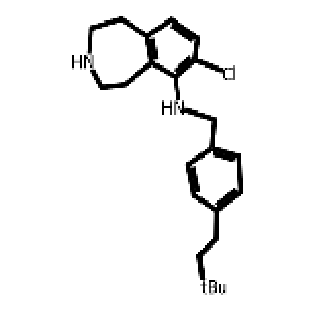 CC(C)(C)CCc1ccc(CNc2c(Cl)ccc3c2CCNCC3)cc1